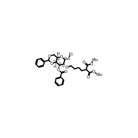 CCS[C@@H]1O[C@@H]2COC(c3ccccc3)O[C@@H]2[C@H](OC(=O)c2ccccc2)[C@H]1OCCCCC(C(=O)OC(C)(C)C)C(=O)OC(C)(C)C